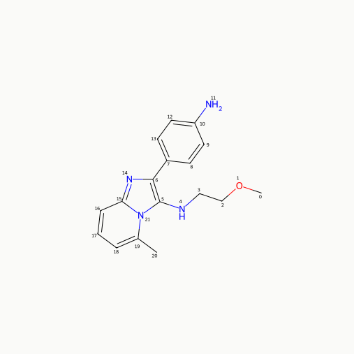 COCCNc1c(-c2ccc(N)cc2)nc2cccc(C)n12